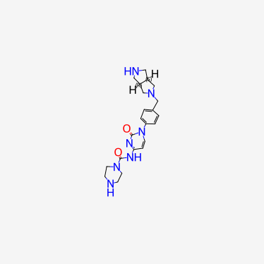 O=C(Nc1ccn(-c2ccc(CN3C[C@H]4CNC[C@H]4C3)cc2)c(=O)n1)N1CCNCC1